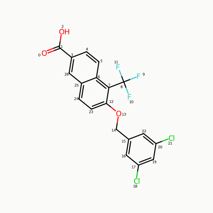 O=C(O)c1ccc2c(C(F)(F)F)c(OCc3cc(Cl)cc(Cl)c3)ccc2c1